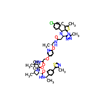 Cc1ncsc1-c1ccc([C@H](C)NC(=O)[C@@H]2C[C@@H](C)CN2C(=O)[C@@H](NC(=O)COc2ccc(O[C@H](C)CNC(=O)CC3N=C(c4ccc(Cl)cc4)c4c(sc(C)c4C)-n4c(C)nnc43)nc2)C(C)(C)C)cc1